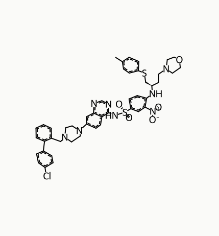 Cc1ccc(SC[C@@H](CCN2CCOCC2)Nc2ccc(S(=O)(=O)Nc3ncnc4cc(N5CCN(Cc6ccccc6-c6ccc(Cl)cc6)CC5)ccc34)cc2[N+](=O)[O-])cc1